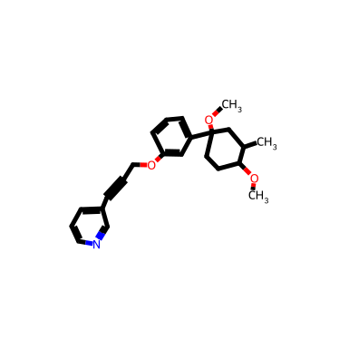 COC1CCC(OC)(c2cccc(OCC#Cc3cccnc3)c2)CC1C